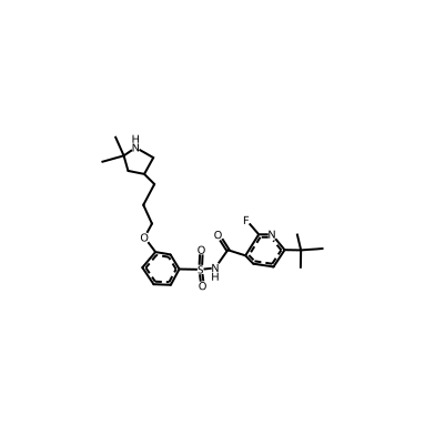 CC1(C)CC(CCCOc2cccc(S(=O)(=O)NC(=O)c3ccc(C(C)(C)C)nc3F)c2)CN1